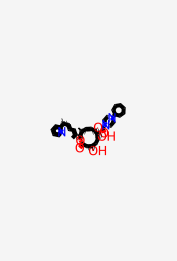 CC(=CC=C[C@@H](C)c1ccccn1)[C@H]1OC(=O)C[C@H](O)CC[C@@](C)(O)[C@@H](OC(=O)N2CCN(C3CCCCCC3)CC2)C=C[C@@H]1C